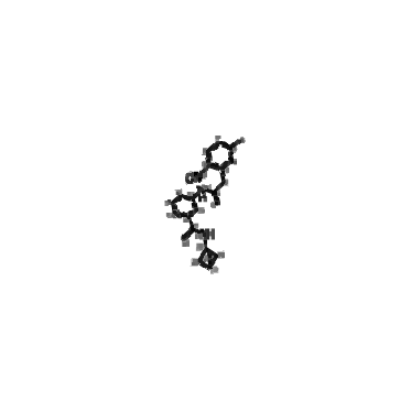 C=C(Cc1cc(C)ccc1N=O)Nc1ccnc(C(=C)NC23CC(C2)C3)c1